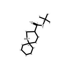 CC(C)(C)OC(=O)C1CCC2(CCCCC2)NC1